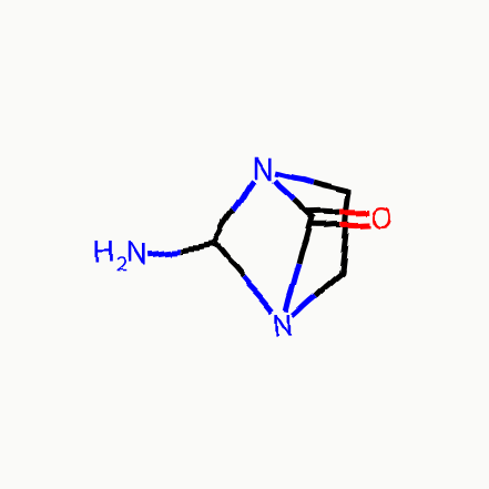 NC1N2CCN1C2=O